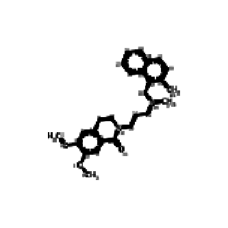 COc1cc2c(cc1OC)C(=O)N(CCCN(C)Cc1c(C)ccc3ccccc13)CC2